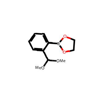 COC(OC)c1ccccc1B1OCCO1